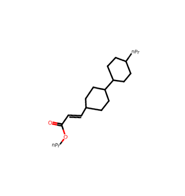 CCCOC(=O)C=CC1CCC(C2CCC(CCC)CC2)CC1